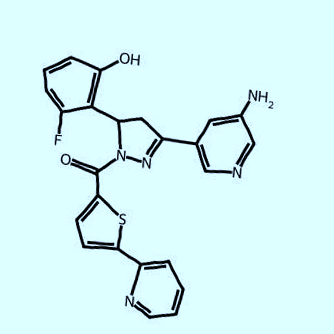 Nc1cncc(C2=NN(C(=O)c3ccc(-c4ccccn4)s3)C(c3c(O)cccc3F)C2)c1